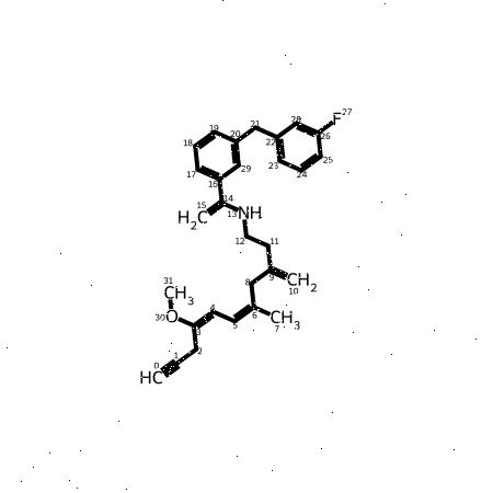 C#CC/C(=C\C=C(\C)CC(=C)CCNC(=C)c1cccc(Cc2cccc(F)c2)c1)OC